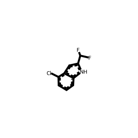 FC(F)c1cc2c(Cl)cccc2[nH]1